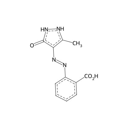 Cc1[nH][nH]c(=O)c1/N=N/c1ccccc1C(=O)O